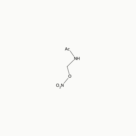 CC(=O)NCO[N+](=O)[O-]